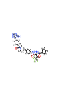 O=C(Nc1ccc(C2CCN(C(=O)[C@H]3CC[C@H](c4nnn[nH]4)CC3)CC2)cc1)c1nc(-c2ccccc2)oc1C(F)(F)F